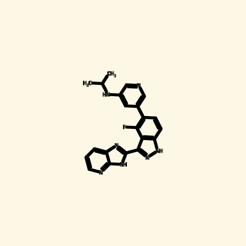 CC(C)Nc1cncc(-c2ccc3[nH]nc(-c4nc5cccnc5[nH]4)c3c2F)c1